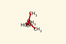 CCCCCCCCCCCCCCOCC[N+](C)(CCCN(CCO)CCO)CCOCCCCCCCCCCCCCC